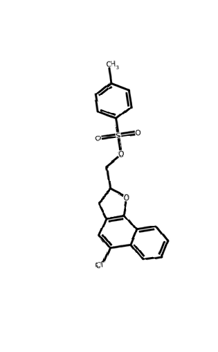 Cc1ccc(S(=O)(=O)OCC2Cc3cc(Cl)c4ccccc4c3O2)cc1